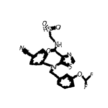 N#Cc1ccc(N(Cc2cccc(OC(F)F)c2)c2scnc2C(=O)NC[SH](=O)=O)cc1